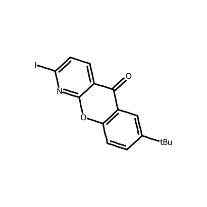 CC(C)(C)c1ccc2oc3nc(I)ccc3c(=O)c2c1